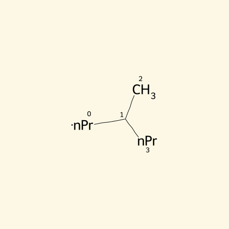 CC[CH]C(C)CCC